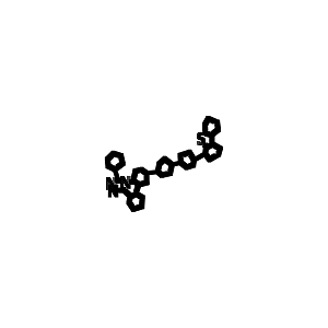 c1ccc(-c2nnc3c4ccccc4c4cc(-c5ccc(-c6ccc(-c7cccc8c7sc7ccccc78)cc6)cc5)ccc4n23)cc1